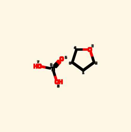 C1CCOC1.[O]=[Ti]([OH])[OH]